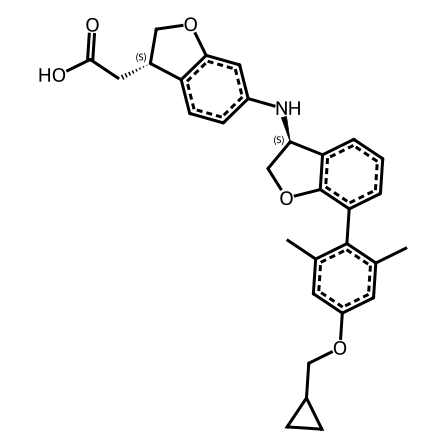 Cc1cc(OCC2CC2)cc(C)c1-c1cccc2c1OC[C@H]2Nc1ccc2c(c1)OC[C@H]2CC(=O)O